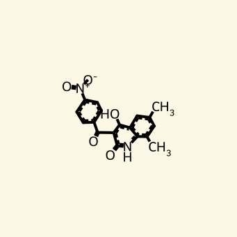 Cc1cc(C)c2[nH]c(=O)c(C(=O)c3ccc([N+](=O)[O-])cc3)c(O)c2c1